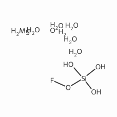 O.O.O.O.O.O.O[Si](O)(O)OF.[MgH2]